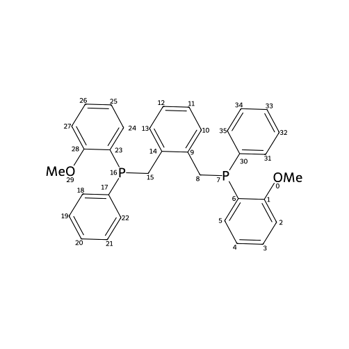 COc1ccccc1P(Cc1ccccc1CP(c1ccccc1)c1ccccc1OC)c1ccccc1